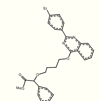 CCc1ccc(-c2nc(OCCCCOC(C(=O)OC)c3ccccc3)c3ccccc3n2)cc1